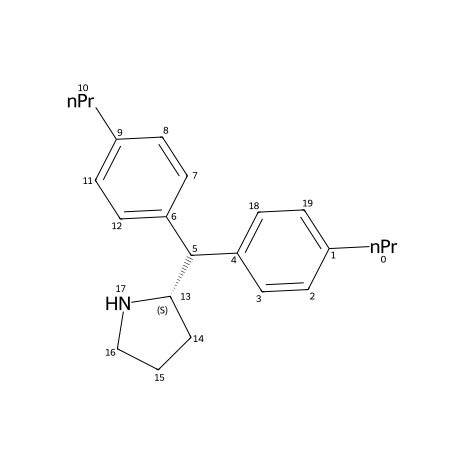 CCCc1ccc(C(c2ccc(CCC)cc2)[C@@H]2CCCN2)cc1